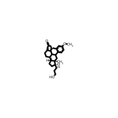 COc1ccc2c(c1)C[C@]13CCC(=O)C=C1CC[C@@H]1C3C2C[C@@]2(C)[C@@H]1CC[C@]2(O)CCCO